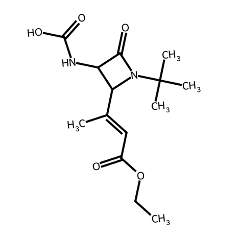 CCOC(=O)C=C(C)C1C(NC(=O)O)C(=O)N1C(C)(C)C